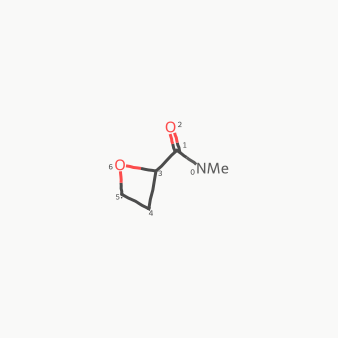 CNC(=O)C1C[CH]O1